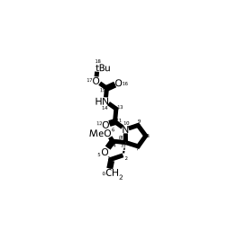 C=CC[C@@]1(C(=O)OC)CCCN1C(=O)CNC(=O)OC(C)(C)C